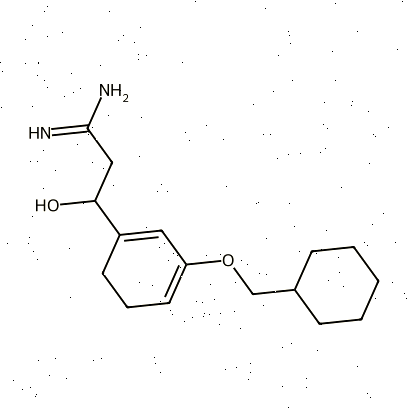 N=C(N)CC(O)C1=CC(OCC2CCCCC2)=CCC1